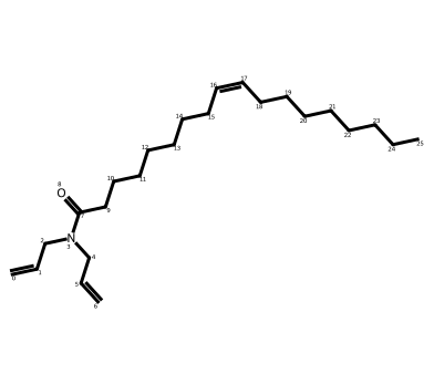 C=CCN(CC=C)C(=O)CCCCCCC/C=C\CCCCCCCC